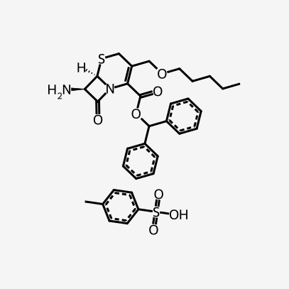 CCCCCOCC1=C(C(=O)OC(c2ccccc2)c2ccccc2)N2C(=O)[C@@H](N)[C@H]2SC1.Cc1ccc(S(=O)(=O)O)cc1